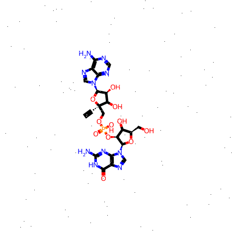 C#C[C@]1(COP(=O)(O)O[C@H]2C(O)[C@@H](CO)O[C@H]2n2cnc3c(=O)[nH]c(N)nc32)O[C@@H](n2cnc3c(N)ncnc32)[C@@H](O)C1O